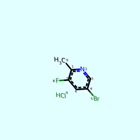 Cc1ncc(Br)cc1F.Cl